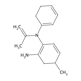 C=C(C)N(C1=CC=CCC1)C1=C(N)CC(C)C=C1